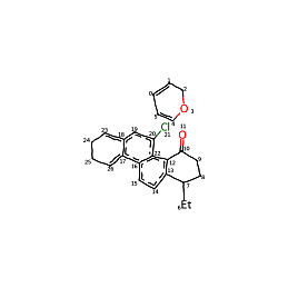 C1=CCOC=C1.CCC1CCC(=O)c2c1ccc1c3c(cc(Cl)c21)=CCCC=3